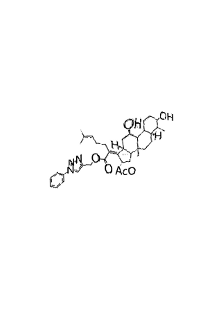 CC(=O)O[C@H]1C[C@@]2(C)[C@@H](C[C@@H](O)C3[C@]2(C)CC[C@H]2[C@H](C)[C@H](O)CC[C@]32C)/C1=C(\CCC=C(C)C)C(=O)OCc1cn(-c2ccccc2)nn1